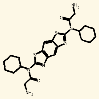 NCC(=O)N(c1nc2cc3nc(N(C(=O)CN)C4CCCCC4)sc3cc2s1)C1CCCCC1